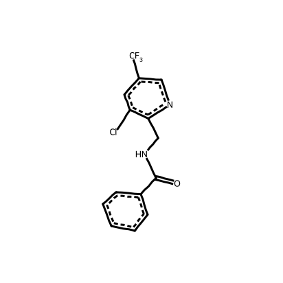 O=C(NCc1ncc(C(F)(F)F)cc1Cl)c1ccccc1